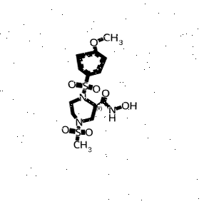 COc1ccc(S(=O)(=O)N2CCN(S(C)(=O)=O)C[C@@H]2C(=O)NO)cc1